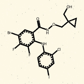 O=C(NOCC1(CO)CC1)c1cc(Br)c(F)c(F)c1Nc1ccc(I)cc1Cl